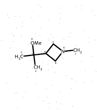 COC(C)(C)C1CN(C)C1